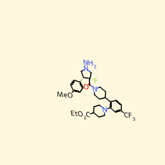 CCOC(=O)C1CCN(c2cc(C(F)(F)F)ccc2C2CCN(C(=O)[C@]3(F)CN(N)C[C@H]3c3ccc(OC)cc3)CC2)CC1